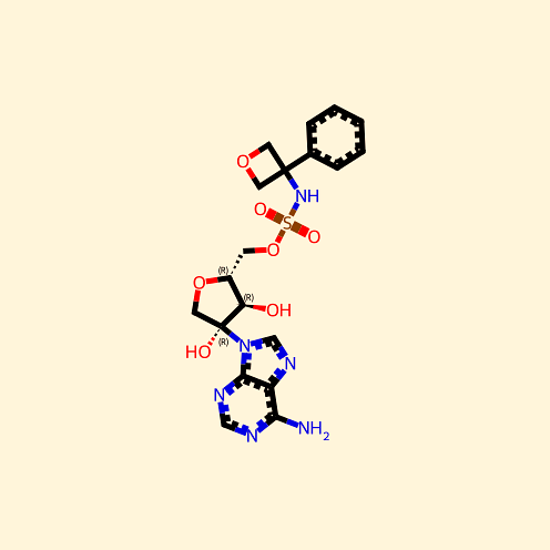 Nc1ncnc2c1ncn2[C@@]1(O)CO[C@H](COS(=O)(=O)NC2(c3ccccc3)COC2)[C@H]1O